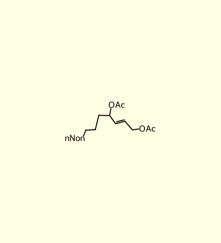 CCCCCCCCCCCCC(C=CCOC(C)=O)OC(C)=O